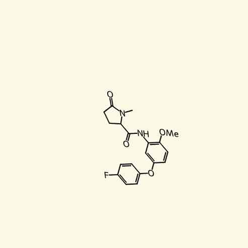 COc1ccc(Oc2ccc(F)cc2)cc1NC(=O)C1CCC(=O)N1C